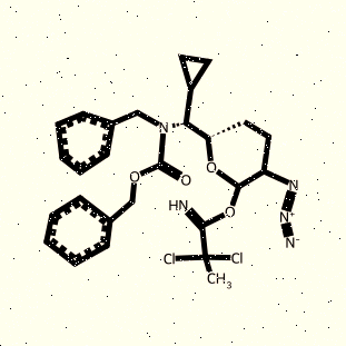 CC(Cl)(Cl)C(=N)OC1O[C@H]([C@@H](C2CC2)N(Cc2ccccc2)C(=O)OCc2ccccc2)CCC1N=[N+]=[N-]